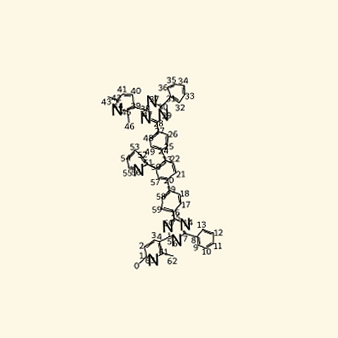 Cc1ccc(-c2nc(-c3ccccc3)nc(-c3ccc(-c4ccc(-c5ccc(-c6nc(-c7ccccc7)nc(-c7ccc(C)nc7C)n6)cc5)c(-c5ccccn5)c4)cc3)n2)c(C)n1